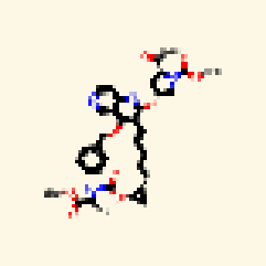 COC(=O)[C@@H]1C[C@@H](Oc2nc3ccncc3c(OCc3ccccc3)c2C=CCCC[C@@H]2C[C@H]2OC(=O)NC(C(=O)OC(C)(C)C)C(C)(C)C)CN1C(=O)OC(C)(C)C